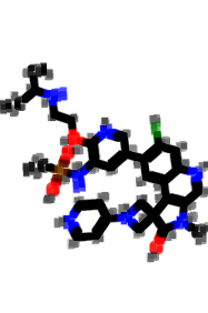 CC(C)NCCOc1ncc(-c2cc3c4c(cnc3cc2F)N(C)C(=O)C42CN(c3ccncc3)C2)cc1NS(C)(=O)=O